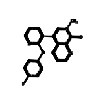 Cn1cc(-c2cccnc2Oc2ccc(F)cc2)c2cccnc2c1=O